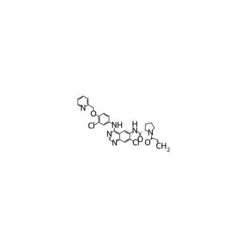 C=CC(=O)N1CCC[C@H]1C(=O)Nc1cc2c(Nc3ccc(OCc4ccccn4)c(Cl)c3)ncnc2cc1Cl